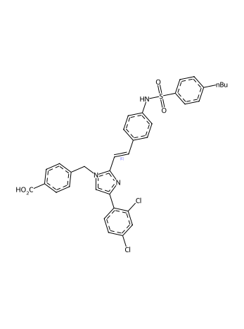 CCCCc1ccc(S(=O)(=O)Nc2ccc(/C=C/c3nc(-c4ccc(Cl)cc4Cl)cn3Cc3ccc(C(=O)O)cc3)cc2)cc1